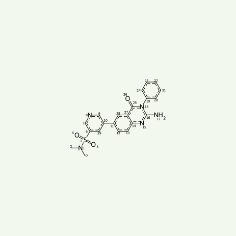 CN(C)S(=O)(=O)c1cncc(-c2ccc3nc(N)n(-c4ccccc4)c(=O)c3c2)c1